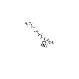 CCCCCCCCCCC([C]=O)(CC)CC